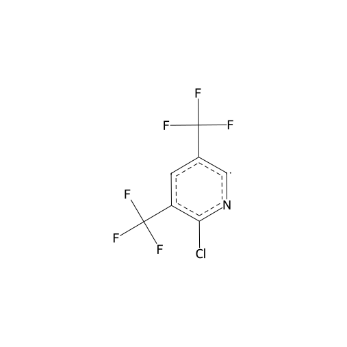 FC(F)(F)c1[c]nc(Cl)c(C(F)(F)F)c1